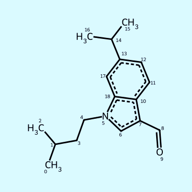 CC(C)CCn1cc(C=O)c2ccc(C(C)C)cc21